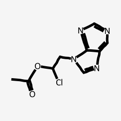 CC(=O)OC(Cl)Cn1cnc2cncnc21